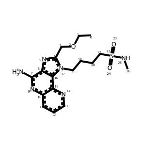 CCOCc1nc2c(N)nc3cccnc3c2n1CCCCS(=O)(=O)NC